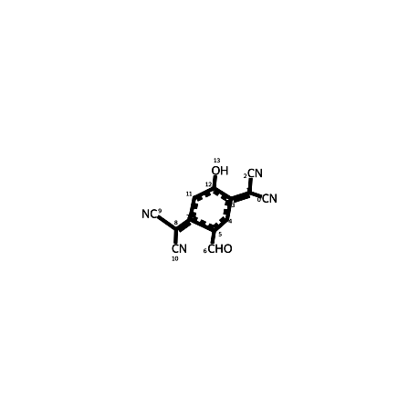 N#CC(C#N)=c1cc(C=O)c(=C(C#N)C#N)cc1O